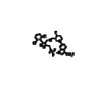 Cn1cc(C(=O)O)c2ccc(N3CCC(F)C(COCc4c(-c5c(Cl)cccc5Cl)noc4CC4CC4(F)F)C3)cc21